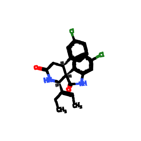 CC=C(CC)[C@@H]1NC(=O)C[C@H](c2cccc(Cl)c2)[C@@]12C(=O)Nc1cc(Cl)ccc12